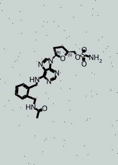 CC(=O)NCc1ccccc1CNc1ncnc2c1ncn2[C@H]1CC[C@@H](COS(N)(=O)=O)O1